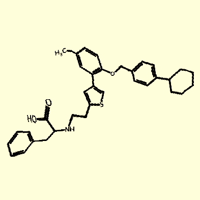 Cc1ccc(OCc2ccc(C3CCCCC3)cc2)c(-c2csc(CCNC(Cc3ccccc3)C(=O)O)c2)c1